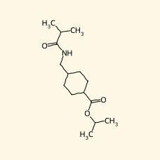 CC(C)OC(=O)C1CCC(CNC(=O)C(C)C)CC1